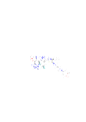 COc1cc(-c2[nH]nc(-c3nc(C)c(N4CC5(C4)CN(C4CCOCC4)C5)s3)c2CC(F)(F)F)cn2ncnc12